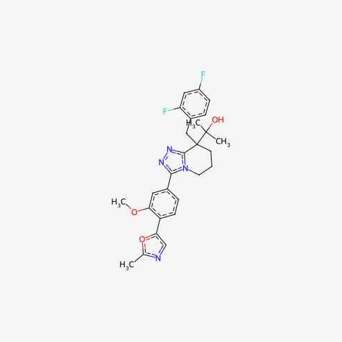 COc1cc(-c2nnc3n2CCCC3(Cc2ccc(F)cc2F)C(C)(C)O)ccc1-c1cnc(C)o1